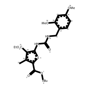 CCCCOC(=O)c1sc(NC(=O)NCc2ccc(OC)cc2OC)c(C(=O)OCC)c1C